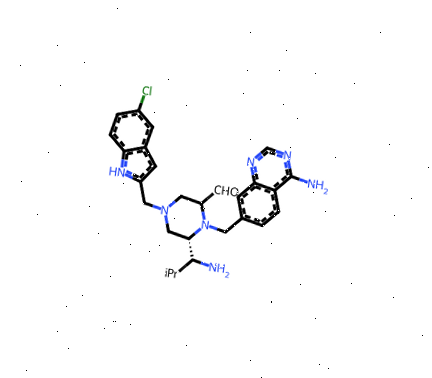 CC(C)C(N)[C@@H]1CN(Cc2cc3cc(Cl)ccc3[nH]2)CC(C=O)N1Cc1ccc2c(N)ncnc2c1